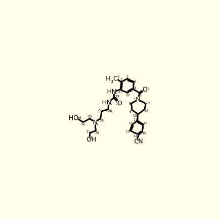 Cc1ccc(C(=O)N2CCC(c3ccc(C#N)cc3)CC2)cc1NC(=O)NCCCN(CCO)CCO